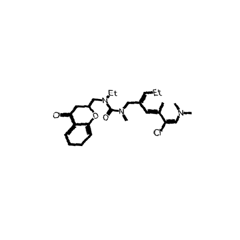 CC\C=C(/C=C(C)/C(Cl)=C\N(C)C)CN(C)C(=O)N(CC)CC1CC(=O)C2=CCCC=C2O1